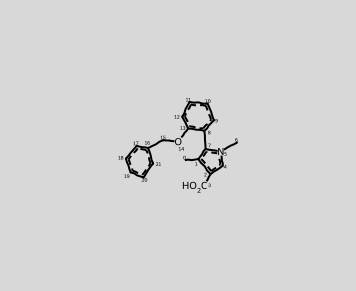 Cc1c(C(=O)O)cn(C)c1-c1ccccc1OCc1ccccc1